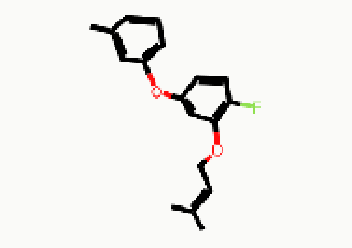 CC(C)=CCOc1cc(Oc2cccc(C)c2)ccc1F